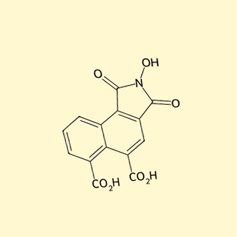 O=C(O)c1cccc2c3c(cc(C(=O)O)c12)C(=O)N(O)C3=O